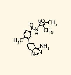 Cc1ccc(C(=O)Nc2noc(C)c2C)cc1-c1ccc2ncnc(N)c2c1